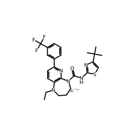 CCN1CC[C@@H](C)N(C(=O)Nc2nc(C(C)(C)C)cs2)c2nc(-c3cccc(C(F)(F)F)c3)ccc21